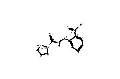 O=C(NSc1ccccc1[N+](=O)[O-])[C@@H]1CCCN1